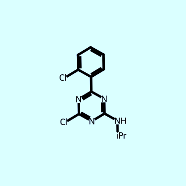 CC(C)Nc1nc(Cl)nc(-c2ccccc2Cl)n1